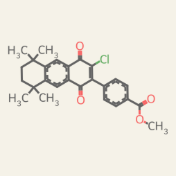 COC(=O)c1ccc(C2=C(Cl)C(=O)c3cc4c(cc3C2=O)C(C)(C)CCC4(C)C)cc1